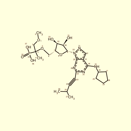 COCC(C)(OC[C@H]1O[C@@H](n2ncc3c(NC4CCCC4)nc(C#CC(C)C)nc32)[C@H](O)[C@@H]1O)P(=O)(O)O